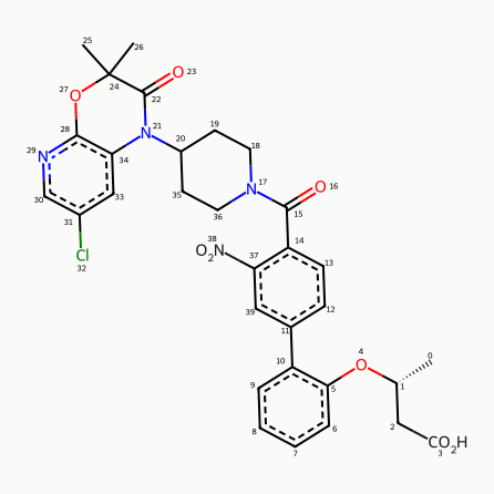 C[C@H](CC(=O)O)Oc1ccccc1-c1ccc(C(=O)N2CCC(N3C(=O)C(C)(C)Oc4ncc(Cl)cc43)CC2)c([N+](=O)[O-])c1